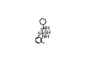 Cc1cccc2c1NC(S)(SNC1CCCCC1)S2